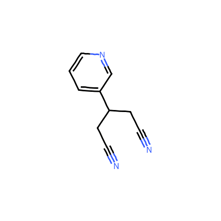 N#CCC(CC#N)c1cccnc1